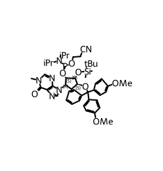 COc1ccc(C(O[C@H]2C[C@@H](n3cnc4c(=O)n(C)cnc43)[C@H](OP(OCCC#N)N(C(C)C)C(C)C)[C@@H]2O[Si](C)(C)C(C)(C)C)(c2ccccc2)c2ccc(OC)cc2)cc1